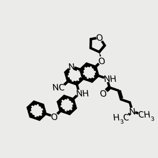 CN(C)CC=CC(=O)Nc1cc2c(Nc3ccc(Oc4ccccc4)cc3)c(C#N)cnc2cc1O[C@@H]1CCOC1